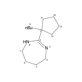 CCCCC1(C2=NCCCCN2)CCCC1